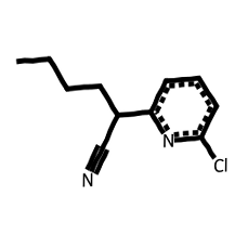 CCCCC(C#N)c1cccc(Cl)n1